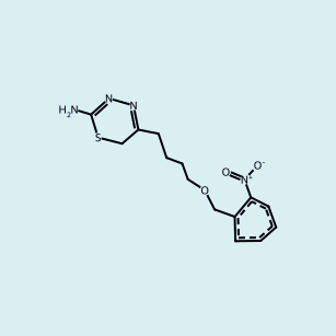 NC1=NN=C(CCCCOCc2ccccc2[N+](=O)[O-])CS1